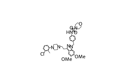 COc1cc2c(CCN3CCN(c4cccc(Cl)c4C)CC3)nn(Cc3ccc(NS(=O)(=O)N4CCOCC4)cc3)c2cc1OC